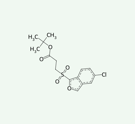 CC(C)(C)OC(=O)CCS(=O)(=O)c1occ2cc(Cl)ccc12